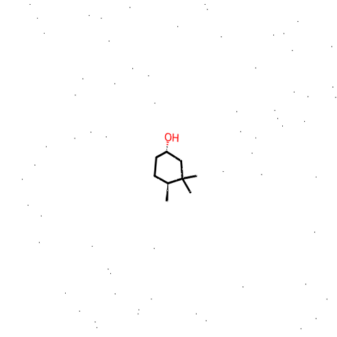 C[C@H]1CC[C@H](O)CC1(C)C